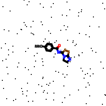 COc1ccc(C(=O)/N=C2\SSC3=NCCN32)cc1